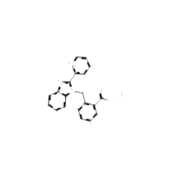 COC(=O)c1ccccc1Cn1c(-c2ccccn2)nc2ccccc21